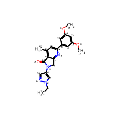 CCn1cc(N2Cc3nc(-c4cc(OC)cc(OC)c4)cc(C)c3C2=O)cn1